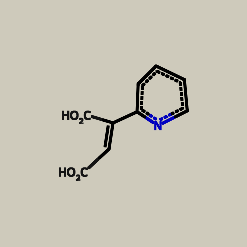 O=C(O)C=C(C(=O)O)c1ccccn1